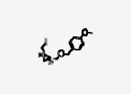 COc1ccc(COC[C@@H]2C[C@H]2CI)cc1